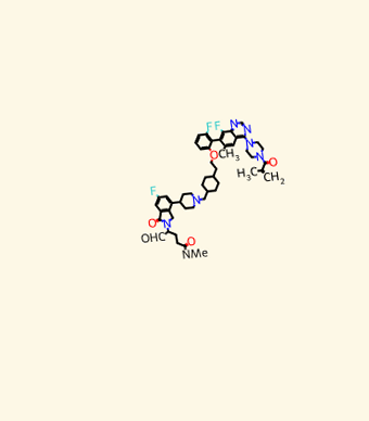 C=C(C)C(=O)N1CCN(c2ncnc3c(F)c(-c4c(F)cccc4OCCC4CCC(CN5CCC(c6cc(F)cc7c6CN(C(C=O)CCC(=O)NC)C7=O)CC5)CC4)c(C)cc23)CC1